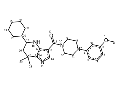 COc1cccc(N2CCN(C(=O)c3cnn4c3NC(C3CCCCC3)CC4(C)C)CC2)c1